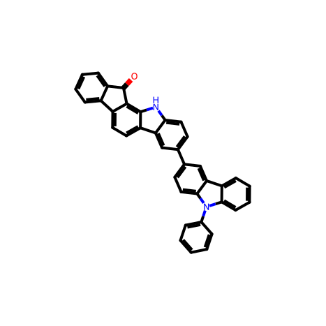 O=C1c2ccccc2-c2ccc3c([nH]c4ccc(-c5ccc6c(c5)c5ccccc5n6-c5ccccc5)cc43)c21